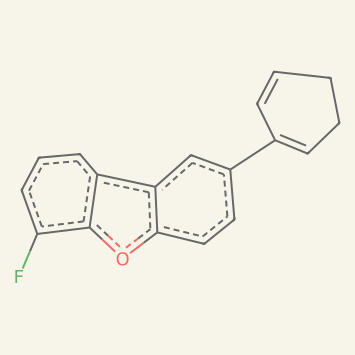 Fc1cccc2c1oc1ccc(C3=CCCC=C3)cc12